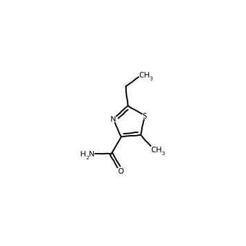 CCc1nc(C(N)=O)c(C)s1